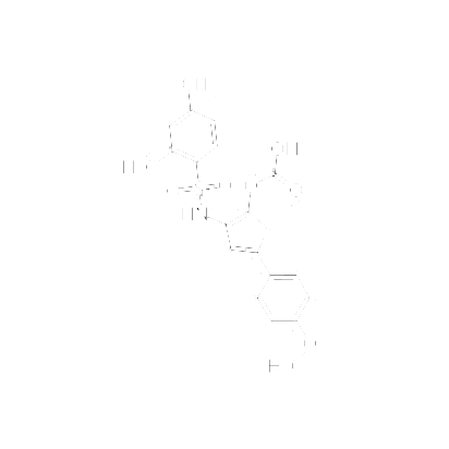 COc1ccc(-c2cc(NS(=O)(=O)c3ccc(C)cc3C)c(OC(=O)O)s2)cc1